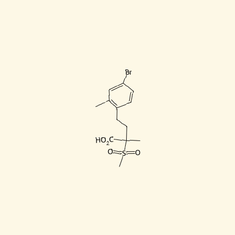 Cc1cc(Br)ccc1CCC(C)(C(=O)O)S(C)(=O)=O